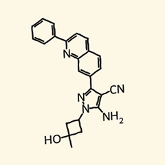 CC1(O)CC(n2nc(-c3ccc4ccc(-c5ccccc5)nc4c3)c(C#N)c2N)C1